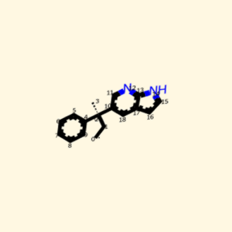 [CH2]C[C@@](C)(c1ccccc1)c1cnc2[nH]ccc2c1